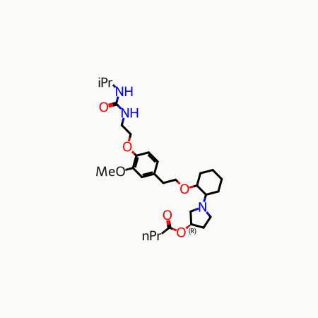 CCCC(=O)O[C@@H]1CCN(C2CCCCC2OCCc2ccc(OCCNC(=O)NC(C)C)c(OC)c2)C1